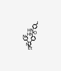 CCn1cc(-c2cccc(NC(=O)Nc3ccc(I)cc3)c2)c(-c2ccncc2)n1